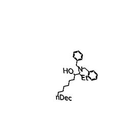 CCCCCCCCCCCCCCCC[C@@H](O)[C@H](CC)N(Cc1ccccc1)Cc1ccccc1